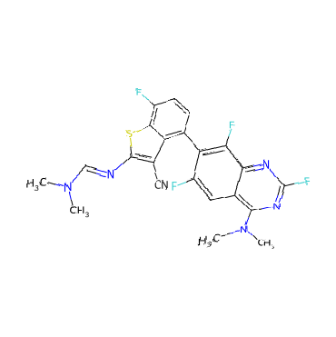 CN(C)/C=N/c1sc2c(F)ccc(-c3c(F)cc4c(N(C)C)nc(F)nc4c3F)c2c1C#N